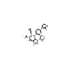 Cc1nccn1-c1ccc(C2C(C#N)=C(N)Oc3c2c(C2CCCO2)nn3C)cc1